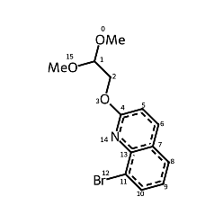 COC(COc1ccc2cccc(Br)c2n1)OC